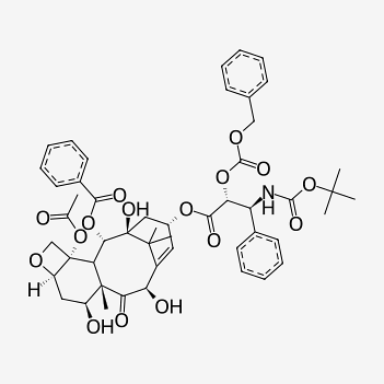 CC(=O)O[C@@]12CO[C@@H]1C[C@H](O)[C@@]1(C)C(=O)[C@H](O)C3=C[C@@H](OC(=O)[C@H](OC(=O)OCc4ccccc4)[C@@H](NC(=O)OC(C)(C)C)c4ccccc4)C[C@@](O)([C@@H](OC(=O)c4ccccc4)C12)C3(C)C